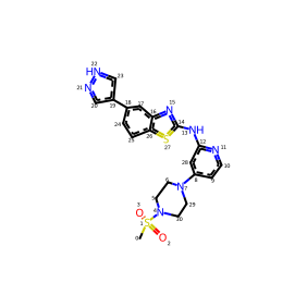 CS(=O)(=O)N1CCN(c2ccnc(Nc3nc4cc(-c5cn[nH]c5)ccc4s3)c2)CC1